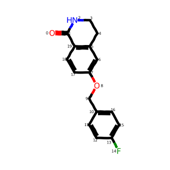 O=C1NCCc2cc(OCc3ccc(F)cc3)ccc21